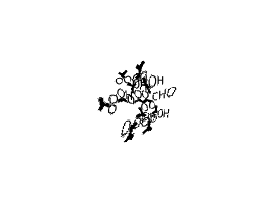 C=C(C)C(=O)OCC(O)COC[C@@H](OCC(O)COC(=O)C(=C)C)[C@H](OCC(O)COC(=O)C(=C)C)[C@H](OCC(O)COC(=O)C(=C)C)[C@H](C=O)OCC(O)COC(=O)C(=C)C